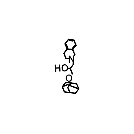 OC(COC12CC3CC(CC(C3)C1)C2)CN1CCc2ccccc2C1